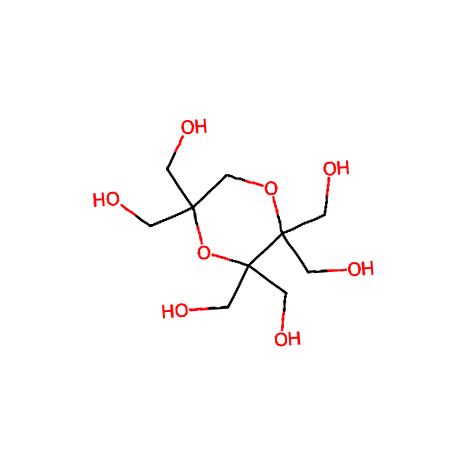 OCC1(CO)COC(CO)(CO)C(CO)(CO)O1